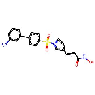 Nc1cccc(-c2ccc(S(=O)(=O)n3ccc(/C=C/C(=O)NO)c3)cc2)c1